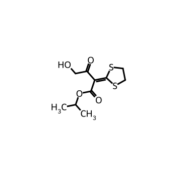 CC(C)OC(=O)C(C(=O)CO)=C1SCCS1